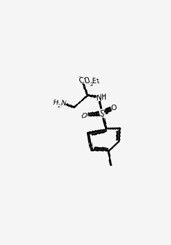 CCOC(=O)C(CN)NS(=O)(=O)c1ccc(C)cc1